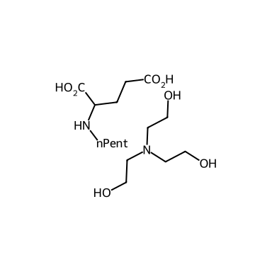 CCCCCNC(CCC(=O)O)C(=O)O.OCCN(CCO)CCO